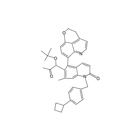 CC(=O)C(OC(C)(C)C)c1c(C)cc2c(ccc(=O)n2Cc2ccc(C3CCC3)cc2)c1-c1ccc2c3c(ccnc13)CCO2